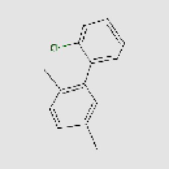 Cc1ccc(C)c(-c2ccccc2Cl)c1